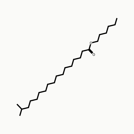 CCCCCCOC(=O)CCCCCCCCCCCCCCC(C)C